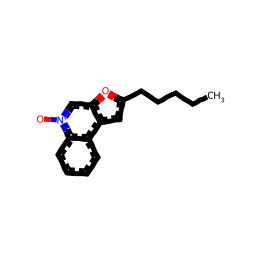 CCCCCc1cc2c(c[n+]([O-])c3ccccc23)o1